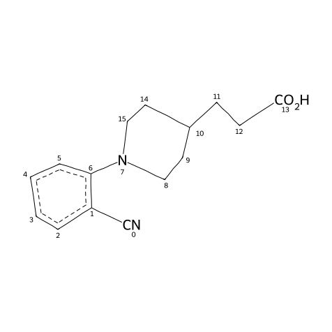 N#Cc1ccccc1N1CCC(CCC(=O)O)CC1